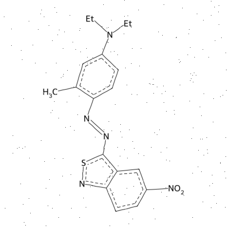 CCN(CC)c1ccc(N=Nc2snc3ccc([N+](=O)[O-])cc23)c(C)c1